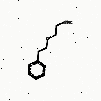 CCCCCCCCOCCc1cc[c]cc1